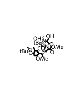 COC(=O)C(CSC(C)c1c(OC)cc(O[Si](C)(C)C(C)(C)C)c(C)c1C(=O)O)NC(=O)C(CO)N(C=O)OC(C)(C)C